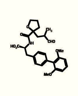 COc1cccc(OC)c1-c1ccc(C[C@H](NC(=O)C2(CC(C)C=O)CCCO2)C(=O)O)cc1